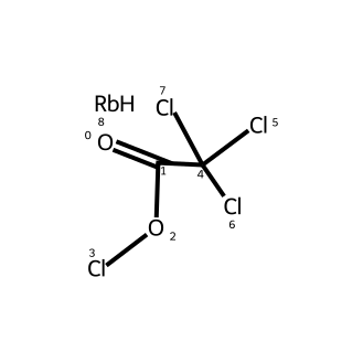 O=C(OCl)C(Cl)(Cl)Cl.[RbH]